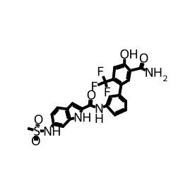 CS(=O)(=O)Nc1ccc2cc(C(=O)Nc3cccc(-c4cc(C(N)=O)c(O)cc4C(F)(F)F)c3)[nH]c2c1